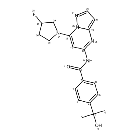 CC(C)(O)c1ccc(C(=O)Nc2cc(N3CCC(F)C3)n3nccc3n2)cc1